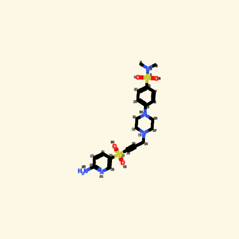 CN(C)S(=O)(=O)c1ccc(N2CCN(CC#CS(=O)(=O)c3ccc(N)nc3)CC2)cc1